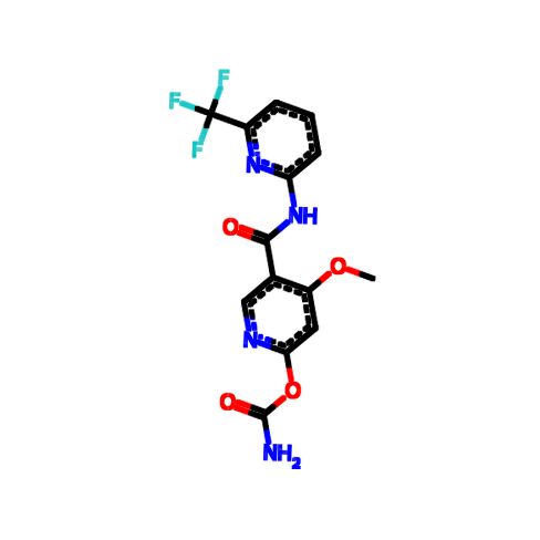 COc1cc(OC(N)=O)ncc1C(=O)Nc1cccc(C(F)(F)F)n1